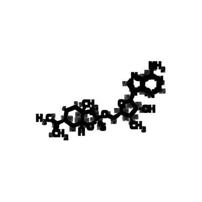 C=C(C)[C@H]1CC[C@@]2(C)S[P@](=S)(OC[C@H]3O[C@@H](n4cnc5c(N)ncnc54)[C@H](O)[C@@H]3C)O[C@@H]2C1